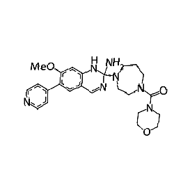 COc1cc2c(cc1-c1ccncc1)C=NC(N)(N1CCCN(C(=O)N3CCOCC3)CC1)N2